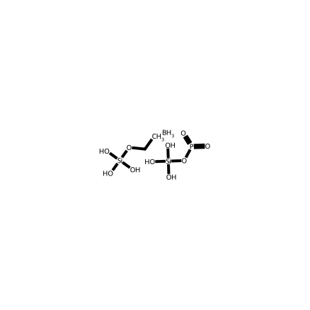 B.CCO[Si](O)(O)O.O=P(=O)O[Si](O)(O)O